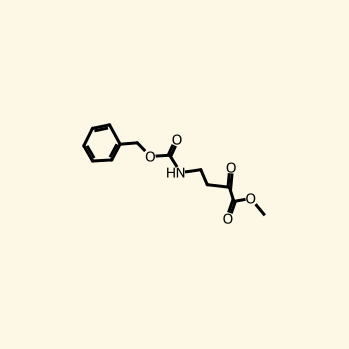 COC(=O)C(=O)CCNC(=O)OCc1ccccc1